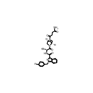 CC(C)(C)[C@H](NC(=O)c1nn(Cc2ccc(F)cc2)c2ccccc12)C(=O)N1C[C@@H]2C[C@H]1CN2C(=O)CCC(N)=O